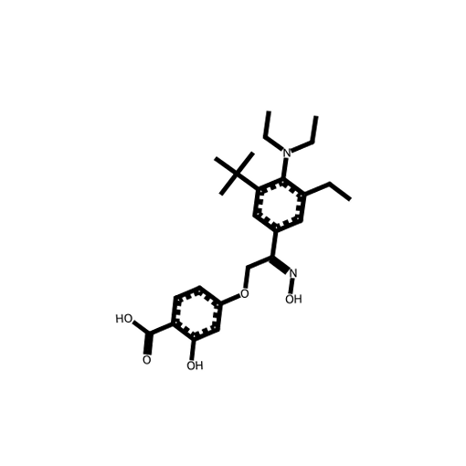 CCc1cc(C(COc2ccc(C(=O)O)c(O)c2)=NO)cc(C(C)(C)C)c1N(CC)CC